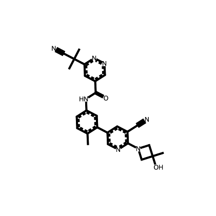 Cc1ccc(NC(=O)c2cnnc(C(C)(C)C#N)c2)cc1-c1cnc(N2CC(C)(O)C2)c(C#N)c1